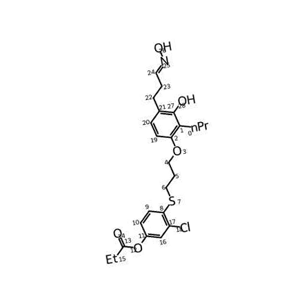 CCCc1c(OCCCSc2ccc(OC(=O)CC)cc2Cl)ccc(CCC=NO)c1O